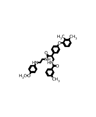 COc1ccc(NCCNC(=O)C(CNC(=O)c2cccc(C)c2)c2ccc(Oc3cccc(C)c3C)cc2)cc1